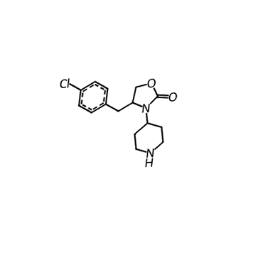 O=C1OCC(Cc2ccc(Cl)cc2)N1C1CCNCC1